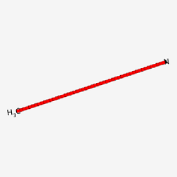 CC#CC#CC#CC#CC#CC#CC#CC#CC#CC#CC#CC#CC#CC#CC#CC#CC#CC#CC#CC#CC#CC#CC#CC#CC#CC#CC#CC#CC#CC#CC#CC#CC#CC#CC#CC#CC#CC#CC#CC#CC#CC#CC#CC#CC#CC#CC#CC#CC#CC#N